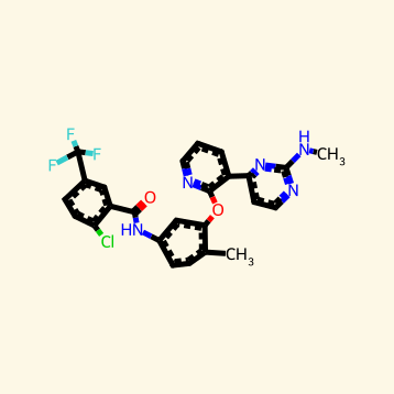 CNc1nccc(-c2cccnc2Oc2cc(NC(=O)c3cc(C(F)(F)F)ccc3Cl)ccc2C)n1